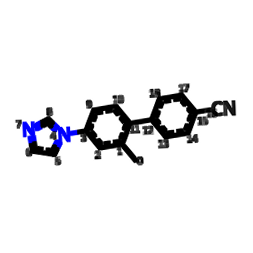 Cc1cc(-n2ccnc2)ccc1-c1ccc(C#N)cc1